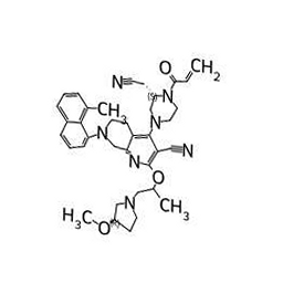 C=CC(=O)N1CCN(c2c(C#N)c(OC(C)CN3CC[C@@H](OC)C3)nc3c2CCN(c2cccc4cccc(C)c24)C3)C[C@@H]1CC#N